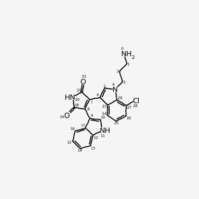 NCCCn1cc(C2=C(c3c[nH]c4ccccc34)C(=O)NC2=O)c2cccc(Cl)c21